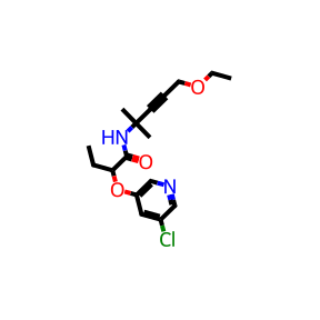 CCOCC#CC(C)(C)NC(=O)C(CC)Oc1cncc(Cl)c1